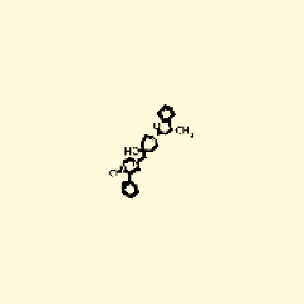 C[C@H](CC(=O)N1CCC(O)(CN2C=CN(Cl)C(c3ccccc3)=C2)CC1)c1ccccc1